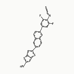 CCCc1cc2sc(-c3ccc4cc(-c5cc(F)c(N=C=S)c(F)c5)ccc4c3)cc2s1